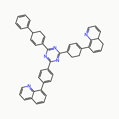 C1=CC2CC=CC(C3=CC=C(c4nc(C5=CCC(c6ccccc6)C=C5)nc(-c5ccc(-c6cccc7cccnc67)cc5)n4)CC3)=C2N=C1